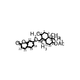 C=C1CCC2C(C)(C)C(OC(C)=O)CCC2(C)C1COc1ccc2ccc(=O)oc2c1